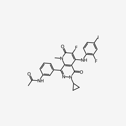 CC(=O)Nc1cccc(-c2nn(C3CC3)c(=O)c3c(Nc4ccc(I)cc4F)c(F)c(=O)n(C)c23)c1